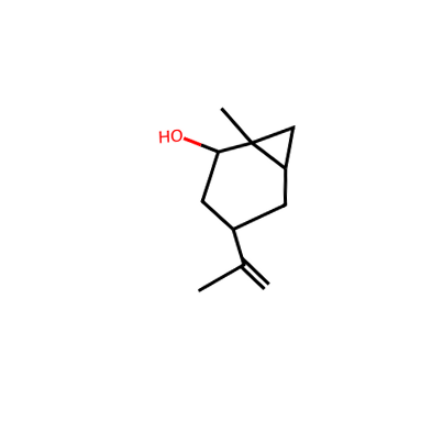 C=C(C)C1CC(O)C2(C)CC2C1